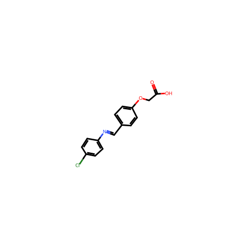 O=C(O)COc1ccc(/C=N/c2ccc(Cl)cc2)cc1